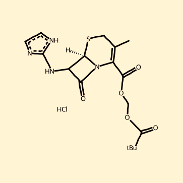 CC1=C(C(=O)OCOC(=O)C(C)(C)C)N2C(=O)C(Nc3ncc[nH]3)[C@H]2SC1.Cl